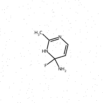 CC1=NC=CC(N)(F)N1